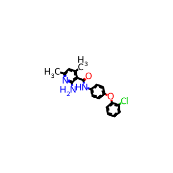 Cc1cc(C)c(C(=O)Nc2ccc(Oc3ccccc3Cl)cc2)c(N)n1